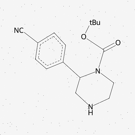 CC(C)(C)OC(=O)N1CCNCC1c1ccc(C#N)cc1